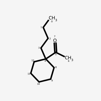 CCCCC1(C(C)=O)CCCCC1